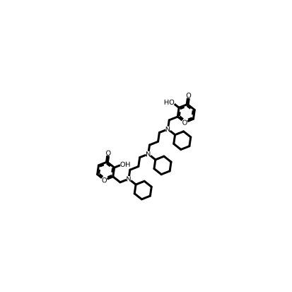 O=c1ccoc(CN(CCCN(CCCN(Cc2occc(=O)c2O)C2CCCCC2)C2CCCCC2)C2CCCCC2)c1O